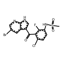 CS(=O)(=O)Nc1ccc(Cl)c(C(=O)c2c[nH]c3ncc(Br)cc23)c1F